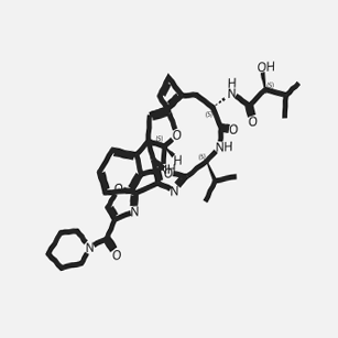 CC(C)[C@H](O)C(=O)N[C@H]1Cc2ccc3c(c2)C2(c4ccccc4N[C@H]2O3)c2oc(nc2-c2nc(C(=O)N3CCCCC3)co2)[C@H](C(C)C)NC1=O